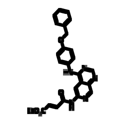 CCOC(=O)C=CC(=O)Nc1cc2c(Nc3ccc(OCc4ccccc4)cc3)ncnc2cn1